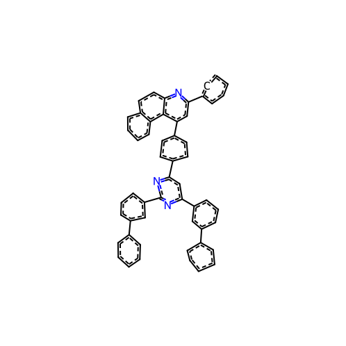 c1ccc(-c2cccc(-c3cc(-c4ccc(-c5cc(-c6ccccc6)nc6ccc7ccccc7c56)cc4)nc(-c4cccc(-c5ccccc5)c4)n3)c2)cc1